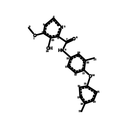 COc1ccnc(C(=O)Nc2ccc(Oc3ccc(C)cc3)c(C)c2)c1O